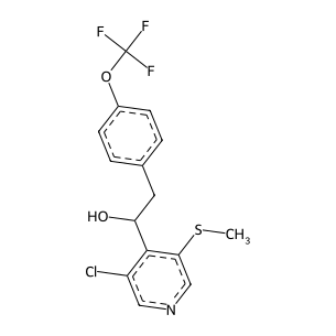 CSc1cncc(Cl)c1C(O)Cc1ccc(OC(F)(F)F)cc1